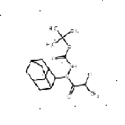 CC(Cl)C(=O)N(NC(=O)OC(C)(C)C)C1C2CC3CC(C2)CC1C3